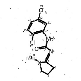 CCCCN1CCC/C1=N/C(=O)Nc1cc(C(F)(F)F)ccc1Cl